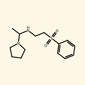 CC(NCCS(=O)(=O)c1ccccc1)N1CCCC1